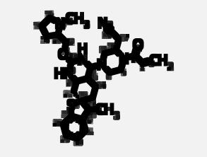 C=CC(=O)N1CCN(C2NC(OCC3CCCN3C)NC3C[C@@]4(CCC32)Sc2ccccc2C4C)CC1CC#N